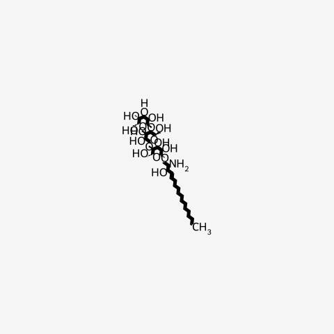 CCCCCCCCCCCCC/C=C/[C@@H](O)[C@@H](N)CO[C@@H]1O[C@H](CO)[C@@H](O[C@@H]2O[C@H](CO)[C@H](O[C@H]3O[C@H](CO)[C@H](O)[C@H](O)[C@H]3O)[C@H](O)[C@H]2O)[C@H](O)[C@H]1O